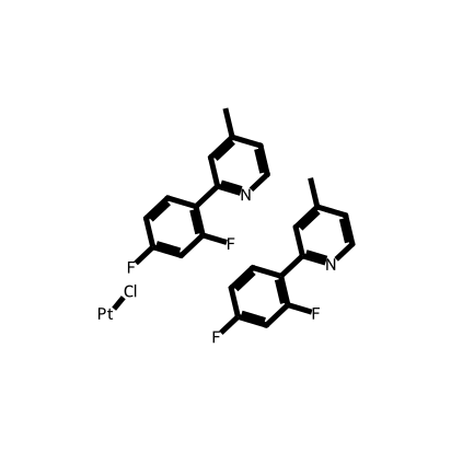 Cc1ccnc(-c2ccc(F)cc2F)c1.Cc1ccnc(-c2ccc(F)cc2F)c1.[Cl][Pt]